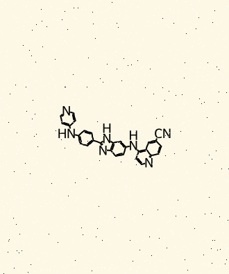 N#Cc1ccc2nccc(Nc3ccc4nc(-c5ccc(Nc6ccncc6)cc5)[nH]c4c3)c2c1